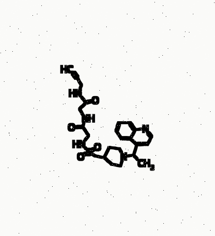 C#CCNC(=O)CNC(=O)CNS(=O)(=O)CC1CCN(C(C)c2ccnc3ccccc23)CC1